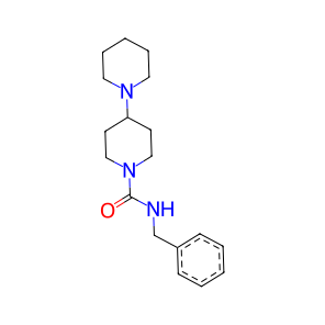 O=C(NCc1ccccc1)N1CCC(N2CCCCC2)CC1